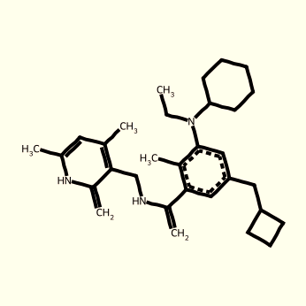 C=C1NC(C)=CC(C)=C1CNC(=C)c1cc(CC2CCC2)cc(N(CC)C2CCCCC2)c1C